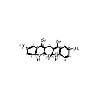 Cc1ccc2[nH]c(=O)c(Cc3c(O)c4cc(C)ccc4[nH]c3=O)c(O)c2c1